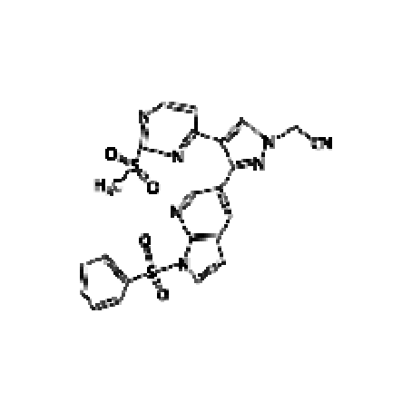 CS(=O)(=O)c1nccc(-c2cn(CC#N)nc2-c2cnc3c(ccn3S(=O)(=O)c3ccccc3)c2)n1